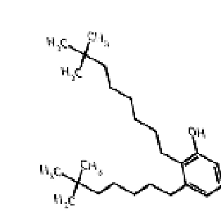 CC(C)(C)CCCCCCc1c(O)cccc1CCCCCC(C)(C)C